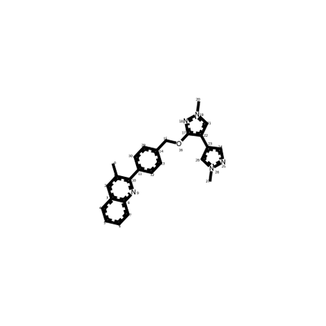 Cc1cc2ccccc2nc1-c1ccc(COc2nn(C)cc2-c2cnn(C)c2)cc1